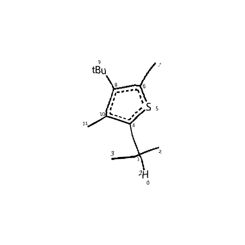 [2H]C(C)(C)c1sc(C)c(C(C)(C)C)c1C